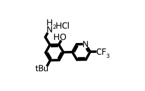 CC(C)(C)c1cc(CN)c(O)c(-c2ccc(C(F)(F)F)nc2)c1.Cl